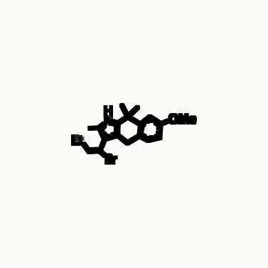 CC/C=C(/Br)c1c(C)[nH]c2c1Cc1ccc(OC)cc1C2(C)C